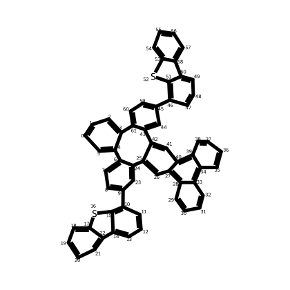 c1ccc2c(c1)-c1ccc(-c3cccc4c3sc3ccccc34)cc1-c1cc3c4ccccc4c4ccccc4c3cc1-c1cc(-c3cccc4c3sc3ccccc34)ccc1-2